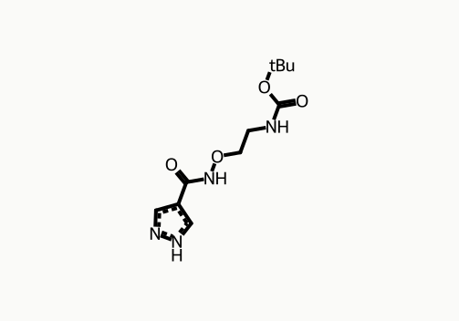 CC(C)(C)OC(=O)NCCONC(=O)c1cn[nH]c1